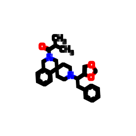 CC(C)C(=O)N1Cc2ccccc2C2(CCN(C(Cc3ccccc3)C3=COCO3)CC2)C1